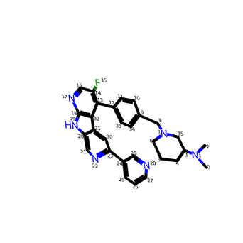 CN(C)C1CCCN(Cc2ccc(-c3c(F)cnc4[nH]c5cnc(-c6cccnc6)cc5c34)cc2)C1